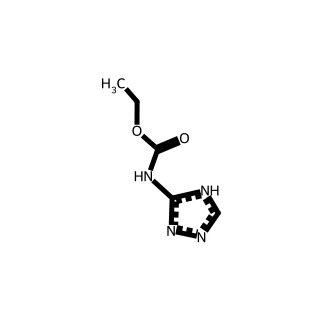 CCOC(=O)Nc1nnc[nH]1